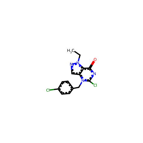 CCn1ncc2c1c(=O)nc(Cl)n2Cc1ccc(Cl)cc1